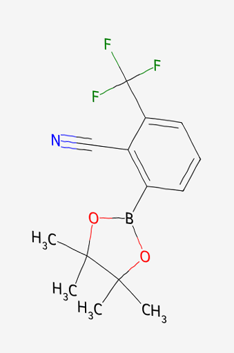 CC1(C)OB(c2cccc(C(F)(F)F)c2C#N)OC1(C)C